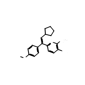 CCSc1ccc(/C(=C/C2CCCC2)c2ccc(C)c(OC)n2)cc1